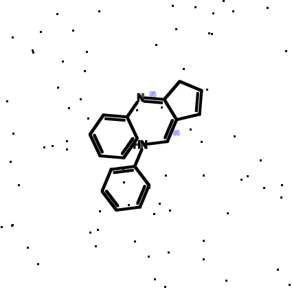 C1=CC(=C/Nc2ccccc2)/C(=N\c2ccccc2)C1